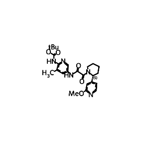 COc1cc([C@@H]2CCCCN2C(=O)C(=O)Nc2cnc(NC(=O)OC(C)(C)C)c(C)c2)ccn1